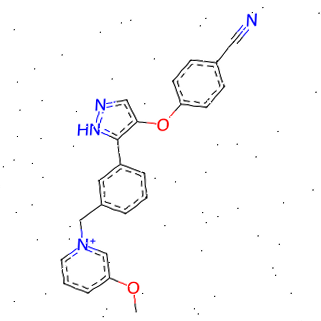 COc1ccc[n+](Cc2cccc(-c3[nH]ncc3Oc3ccc(C#N)cc3)c2)c1